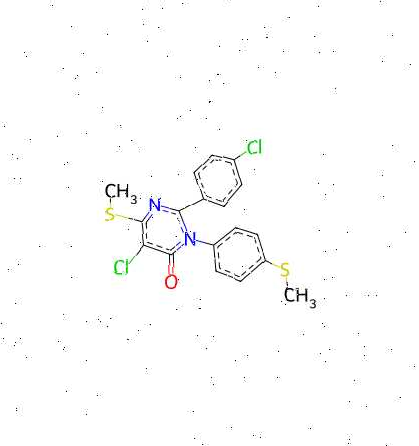 CSc1ccc(-n2c(-c3ccc(Cl)cc3)nc(SC)c(Cl)c2=O)cc1